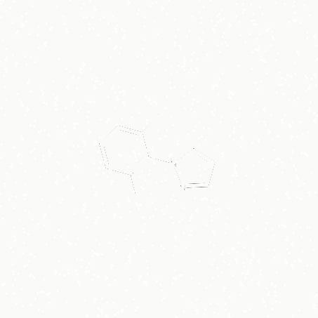 FC(F)(F)c1cccc(C(F)(F)F)c1-n1c[c]cn1